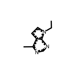 CCn1ccc2c(C)ncnc21